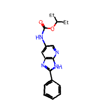 CCC(CC)OC(=O)Nc1cnc2[nH]c(-c3ccccc3)nc2c1